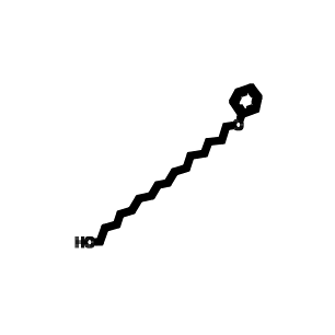 OCCCCCCCCCCCCCCCCOc1ccccc1